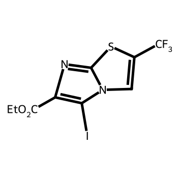 CCOC(=O)c1nc2sc(C(F)(F)F)cn2c1I